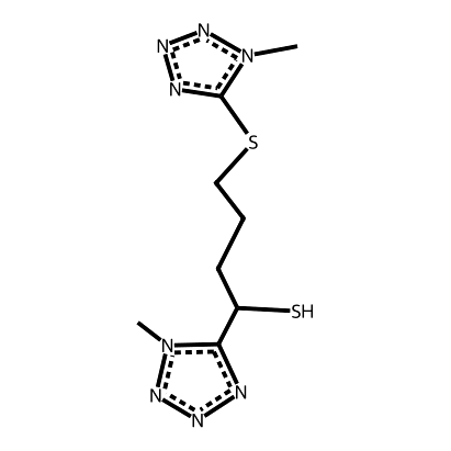 Cn1nnnc1SCCCC(S)c1nnnn1C